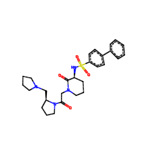 O=C1[C@@H](NS(=O)(=O)c2ccc(-c3ccccc3)cc2)CCCN1CC(=O)N1CCC[C@H]1CN1CCCC1